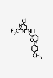 Cc1ccc([C@@H]2CCC[C@H](CNc3cc(Cl)nc(C(F)(F)F)n3)O2)cc1